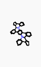 C1=C2C(=CC1)C1c3ccccc3-c3cc4c(cc3N1c1ccccc12)-c1ccccc1C1C2=CCC=C2c2ccccc2N41